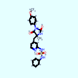 CC1(Cc2ccnc(NS(=O)(=O)Nc3ccccc3)c2)NC(=O)N(c2ccc(OC(F)(F)F)cc2)C1=O